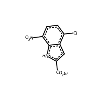 CCOC(=O)c1cc2c(Cl)ccc([N+](=O)[O-])c2[nH]1